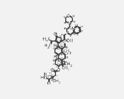 CC(C)C1=C2[C@H]3CC[C@@H]4[C@@]5(C)CC[C@H](OC(=O)CC(C)(C)C(=O)O)C(C)(C)[C@@H]5CC[C@@]4(C)[C@]3(C)CC[C@@]2([C@@H](O)CN(CCN2CCOCC2)Cc2ccccn2)CC1=O